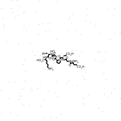 CC(C)C[C@H](NC(=O)[C@H](CO)NC(=O)[C@@H]1CCCN1C(=O)[C@H](CCC(=O)O)NC(=O)CNC(=O)[C@@H](N)CCC(=O)O)C(=O)N[C@@H](CCCCN)C(=O)O